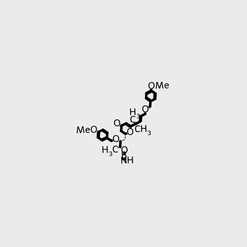 COc1ccc(COC/C=C/C(C)(C)C2=CC(=O)C[C@@H](C[C@@H](OCc3ccc(OC)cc3)[C@@H](C)OB=N)O2)cc1